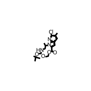 CCOC(=O)c1cc2cc(C)c(Cl)nc2n1C(C)CNC(=O)OC(C)(C)C